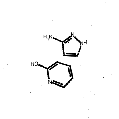 Nc1cc[nH]n1.Oc1ccccn1